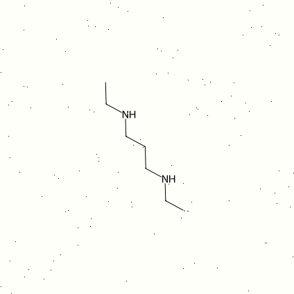 [CH2]CNCCCNCC